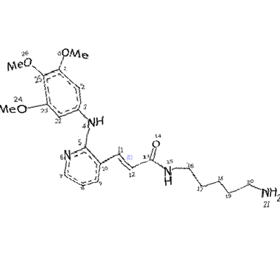 COc1cc(Nc2ncccc2/C=C/C(=O)NCCCCCN)cc(OC)c1OC